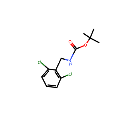 CC(C)(C)OC(=O)NCc1c(Cl)cccc1Cl